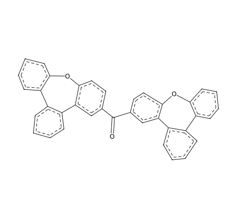 O=C(c1ccc2c(c1)-c1ccccc1-c1ccccc1O2)c1ccc2c(c1)-c1ccccc1-c1ccccc1O2